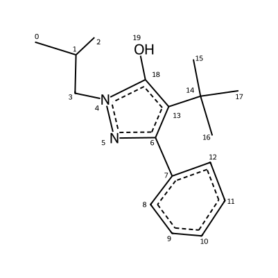 CC(C)Cn1nc(-c2ccccc2)c(C(C)(C)C)c1O